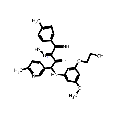 COc1cc(NC(C(=O)/C(=N/S)C(=N)c2ccc(C)cc2)c2ccc(C)nc2)cc(OCCO)c1